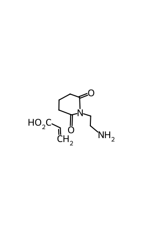 C=CC(=O)O.NCCN1C(=O)CCCC1=O